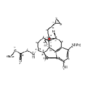 CC(=O)Nc1cc(O)c2c3c1C[C@@H]1[C@@H]4CC[C@@H](NCC(=O)OC(C)(C)C)[C@H](O2)[C@]34CCN1CC1CC1